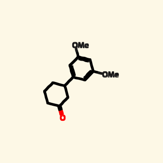 COc1cc(OC)cc(C2CCCC(=O)C2)c1